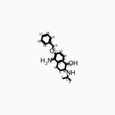 CC(C)N[C@@H]1CCc2c(ccc(OCc3ccccc3)c2N)[C@H]1O